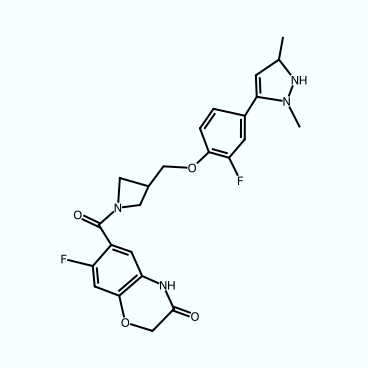 CC1C=C(c2ccc(OCC3CN(C(=O)c4cc5c(cc4F)OCC(=O)N5)C3)c(F)c2)N(C)N1